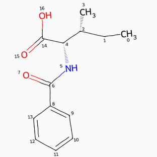 CC[C@@H](C)[C@H](NC(=O)c1ccccc1)C(=O)O